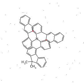 CC1(C)c2ccccc2-c2c(-c3ccccc3N(c3ccccc3-c3ccc4ccccc4c3)c3ccccc3-c3ccc4ccccc4c3)cccc21